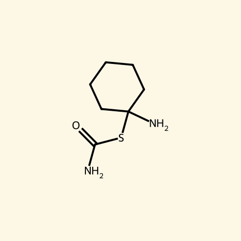 NC(=O)SC1(N)CCCCC1